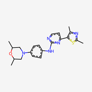 Cc1nc(C)c(-c2ccnc(Nc3ccc(N4CC(C)OC(C)C4)cc3)n2)s1